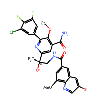 CCOc1c(C(N)=O)cc([C@@](O)(CNC(=O)c2cc(OC)c3ncc(Br)cc3c2)C(F)(F)F)nc1-c1cc(F)c(F)c(Cl)c1